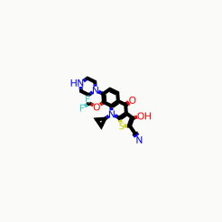 N#Cc1sc2c(c1O)c(=O)c1ccc(N3CCNCC3)c(OC(F)F)c1n2C1CC1